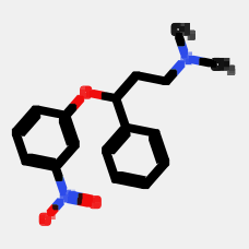 CN(C)CCC(Oc1cccc([N+](=O)[O-])c1)c1ccccc1